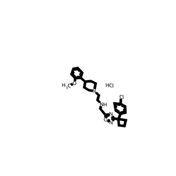 COc1ccccc1C1CCN(CCNCc2nc(C3(c4ccc(Cl)cc4)CCC3)no2)CC1.Cl